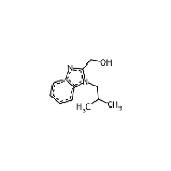 CC(C)Cn1c(CO)nc2ccccc21